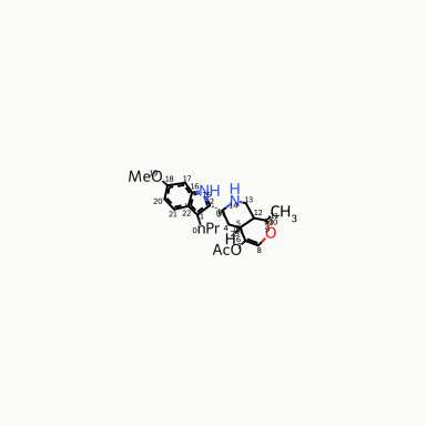 CCCc1c([C@H]2C[C@H]3C(OC(C)=O)=CO[C@H](C)C3CN2)[nH]c2cc(OC)ccc12